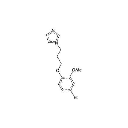 CCc1ccc(OCCCn2ccnc2)c(OC)c1